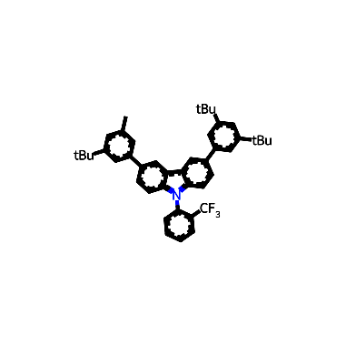 Cc1cc(-c2ccc3c(c2)c2cc(-c4cc(C(C)(C)C)cc(C(C)(C)C)c4)ccc2n3-c2ccccc2C(F)(F)F)cc(C(C)(C)C)c1